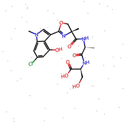 C[C@@H](NC(=O)[C@@]1(C)COC(c2cn(C)c3cc(Cl)cc(O)c23)=N1)C(=O)N[C@@H](CO)C(=O)O